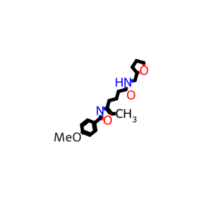 COc1ccc(-c2nc(CCCC(=O)NCC3CCCO3)c(C)o2)cc1